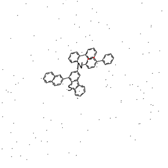 c1ccc(-c2ccc(N(c3cc(-c4ccc5ccccc5c4)c4sc5ccccc5c4c3)c3ccccc3-c3ccccc3)cc2)cc1